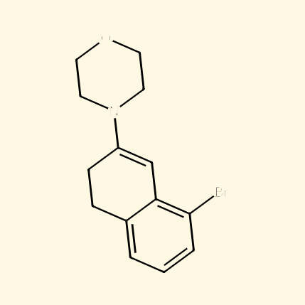 Brc1cccc2c1C=C(N1CCOCC1)CC2